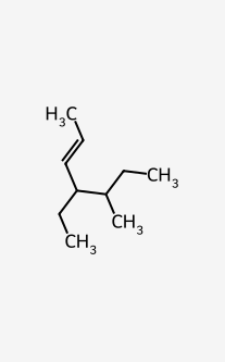 CC=CC(CC)C(C)CC